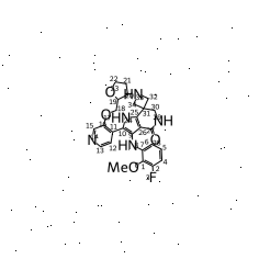 COc1c(F)cccc1Nc1c(-c2ccncc2OCC2CCCO2)[nH]c2c1C(=O)NCC21CNC1